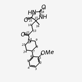 COc1ccccc1C1CCN(C(=O)CCC2(C)NC(=O)NC2=O)CC1